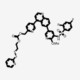 COc1ncc(-c2ccc3nccc(-c4ccc(COC(=O)OCCSSc5ccccn5)nc4)c3c2)cc1NS(=O)(=O)c1ccc(F)cc1F